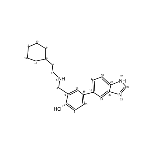 Cl.c1cc(CNCCC2CCCCC2)cc(-c2ccc3[nH]cnc3c2)c1